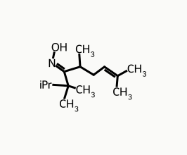 CC(C)=CCC(C)C(=NO)C(C)(C)C(C)C